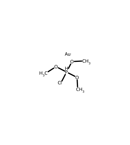 CO[PH](Cl)(OC)OC.[Au]